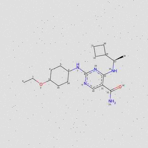 CCOC1CCC(Nc2ncc(C(N)=O)c(N[C@H](C)C3CCC3)n2)CC1